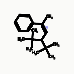 C/C(=C/C([Si](C)(C)C)[Si](C)(C)C)c1ccccc1